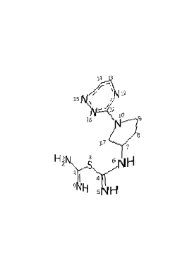 N=C(N)SC(=N)NC1CCN(c2nccnn2)C1